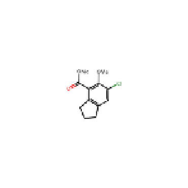 COC(=O)c1c2c(cc(Cl)c1OC)CCC2